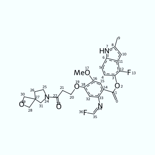 C=C(Oc1ccc2[nH]c(C)cc2c1F)c1cc(OC)c(OCCC(=O)N2CCC3(COC3)C2)cc1/N=C\F